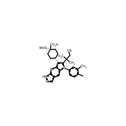 CO[C@]1(C(=O)O)CC[C@H](c2c(C(C)(C)CC#N)n(-c3ccc(F)c(C)c3)c3cc4cn[nH]c4nc32)CC1